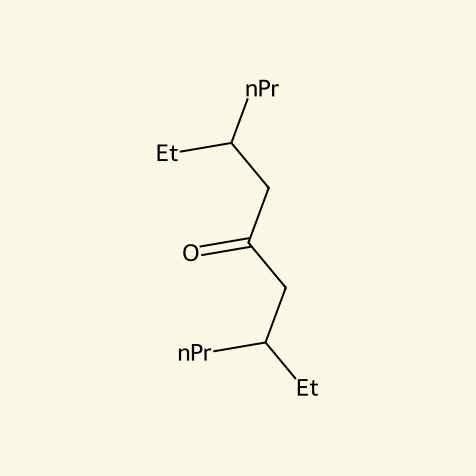 CCCC(CC)CC(=O)CC(CC)CCC